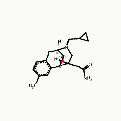 Cc1ccc2c(c1)[C@]13CCN(CC4CC4)[C@H](C2)[C@]1(O)CC(C(N)=O)C3